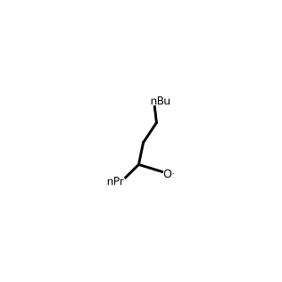 CCCCCCC([O])CCC